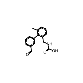 Cc1cccc(CNC(=O)O)c1-c1cccc(C=O)c1